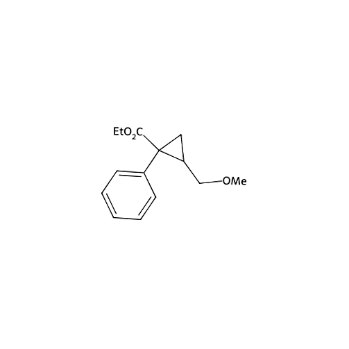 CCOC(=O)C1(c2ccccc2)CC1COC